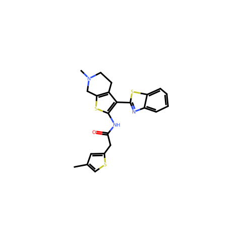 Cc1csc(CC(=O)Nc2sc3c(c2-c2nc4ccccc4s2)CCN(C)C3)c1